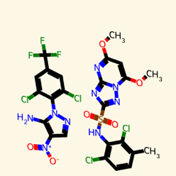 COc1cc(OC)n2nc(S(=O)(=O)Nc3c(Cl)ccc(C)c3Cl)nc2n1.Nc1c([N+](=O)[O-])cnn1-c1c(Cl)cc(C(F)(F)F)cc1Cl